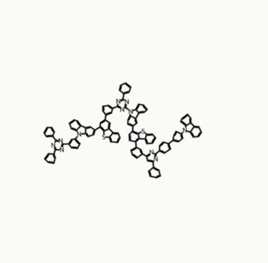 c1ccc(-c2cc(-c3cccc(-c4ccc(-c5ccc6c(c5)c5ccccc5n6-c5nc(-c6ccccc6)nc(-c6cccc(-c7cc(-c8ccc9c(c8)c8ccccc8n9-c8cccc(-c9nc(-c%10ccccc%10)nc(-c%10ccccc%10)n9)c8)c8sc9ccccc9c8c7)c6)n5)c5sc6ccccc6c45)c3)nc(-c3ccc(-c4ccc(-n5c6ccccc6c6ccccc65)cc4)cc3)n2)cc1